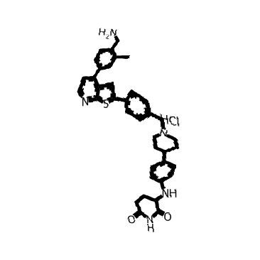 Cc1cc(-c2ccnc3sc(-c4ccc(CN5CCC(c6ccc(NC7CCC(=O)NC7=O)cc6)CC5)cc4)cc23)ccc1CN.Cl